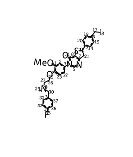 COc1cc(-n2cnc3c(c2=O)SC(c2ccc(CI)cc2)C3)ccc1OCCN(C)Cc1ccc(F)cc1